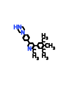 Cc1cc(-c2cc(-c3ccc(N4CCNCC4)cc3)cnc2C)cc(C)c1C